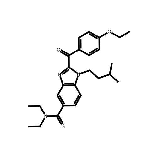 CCOc1ccc(C(=O)c2nc3cc(C(=S)N(CC)CC)ccc3n2CCC(C)C)cc1